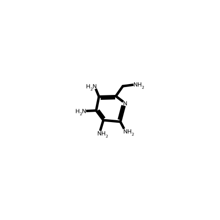 NCc1nc(N)c(N)c(N)c1N